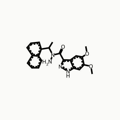 COc1cc2[nH]nc(C(=O)N(N)C(C)c3cccc4ccccc34)c2cc1OC